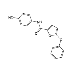 O=C(Nc1ccc(O)cc1)c1ccc(Oc2ccccc2)o1